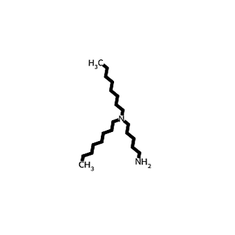 CCCCCCCCN(CCCCCN)CCCCCCCC